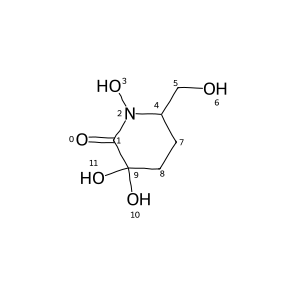 O=C1N(O)C(CO)CCC1(O)O